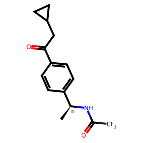 C[C@H](NC(=O)C(F)(F)F)c1ccc(C(=O)CC2CC2)cc1